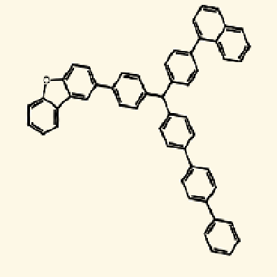 c1ccc(-c2ccc(-c3ccc(C(c4ccc(-c5ccc6oc7ccccc7c6c5)cc4)c4ccc(-c5cccc6ccccc56)cc4)cc3)cc2)cc1